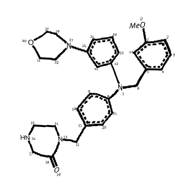 COc1cccc(CN(c2ccc(CN3CCNCC3=O)cc2)c2cccc(N3CCOCC3)c2)c1